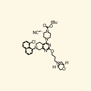 CC(C)(C)OC(=O)N1CCN(c2nc(OCCCN3C[C@@H]4C[C@H]3CO4)nc3c2CCN(c2cccc4cccc(Cl)c24)C3)C[C@@H]1CC#N